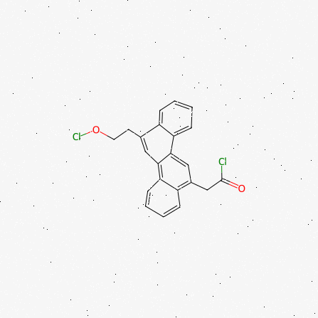 O=C(Cl)Cc1cc2c3ccccc3c(CCOCl)cc2c2ccccc12